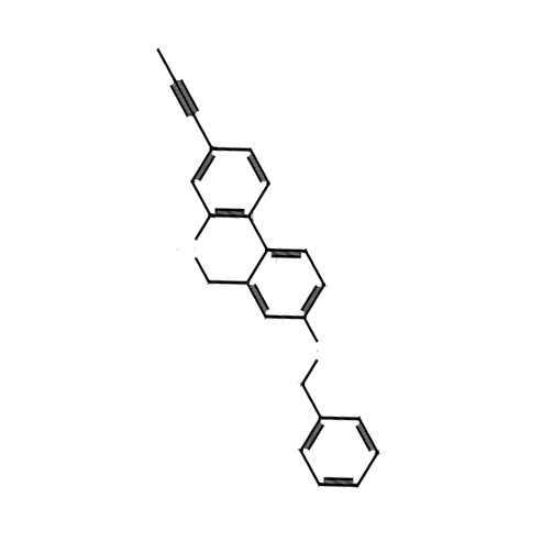 CC#Cc1ccc2c(c1)OCc1cc(OCc3ccccc3)ccc1-2